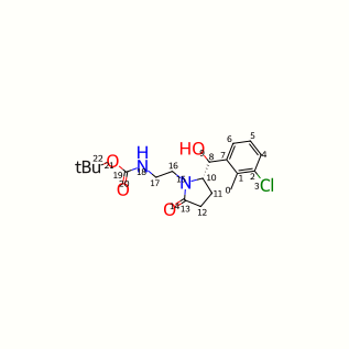 Cc1c(Cl)cccc1C(O)[C@@H]1CCC(=O)N1CCNC(=O)OC(C)(C)C